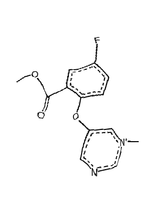 COC(=O)c1cc(F)ccc1Oc1cnc[n+](C)c1